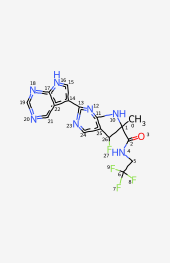 CC1(C(=O)NCC(F)(F)F)Nc2nc(-c3c[nH]c4ncncc34)ncc2C1F